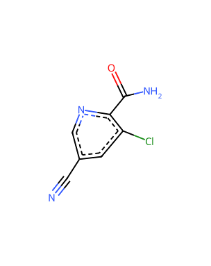 N#Cc1cnc(C(N)=O)c(Cl)c1